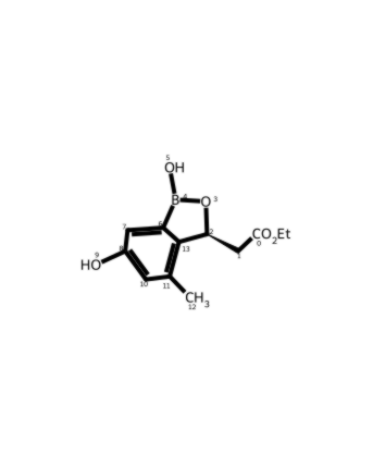 CCOC(=O)C[C@@H]1OB(O)c2cc(O)cc(C)c21